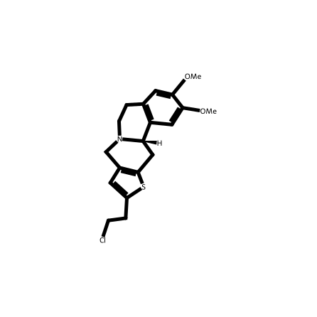 COc1cc2c(cc1OC)[C@@H]1Cc3sc(CCCl)cc3CN1CC2